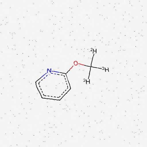 [2H]C([2H])([2H])Oc1ccccn1